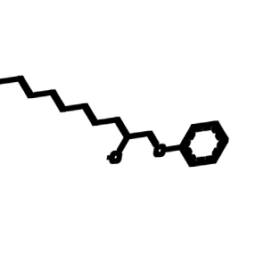 CCCCCCCCC([O])COc1ccccc1